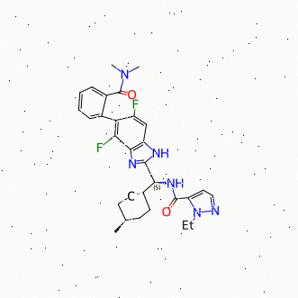 CCn1nccc1C(=O)N[C@H](c1nc2c(F)c(-c3ccccc3C(=O)N(C)C)c(F)cc2[nH]1)[C@H]1CC[C@H](C)CC1